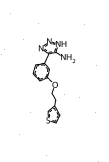 Nc1[nH]nnc1-c1cccc(OCCc2ccsc2)c1